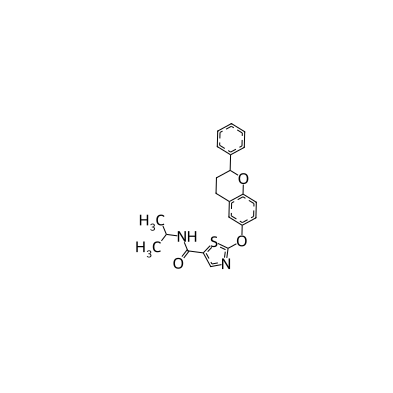 CC(C)NC(=O)c1cnc(Oc2ccc3c(c2)CCC(c2ccccc2)O3)s1